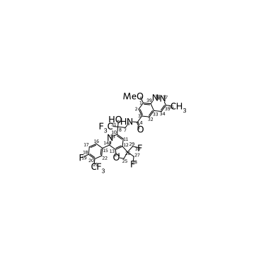 COc1cc(C(=O)NCC(O)(c2cc3c(c(-c4ccc(F)c(C(F)(F)F)c4)n2)OCC3(CF)CF)C(F)(F)F)cc2cc(C)nnc12